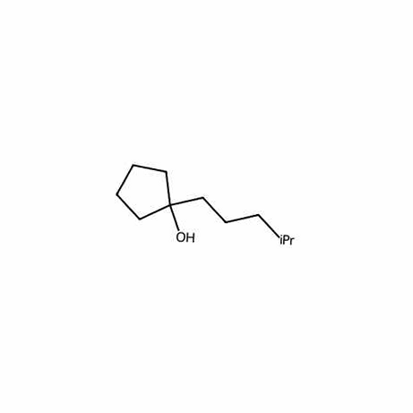 CC(C)CCCC1(O)CCCC1